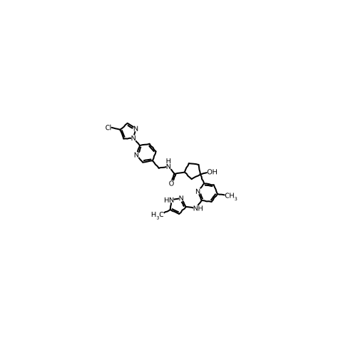 Cc1cc(Nc2cc(C)[nH]n2)nc(C2(O)CCC(C(=O)NCc3ccc(-n4cc(Cl)cn4)nc3)C2)c1